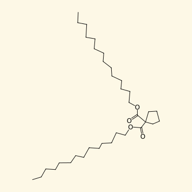 CCCCCCCCCCCCCCOC(=O)C1(C(=O)OCCCCCCCCCCCCCC)CCCC1